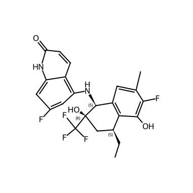 CC[C@H]1C[C@](O)(C(F)(F)F)[C@@H](Nc2cc(F)cc3[nH]c(=O)ccc23)c2cc(C)c(F)c(O)c21